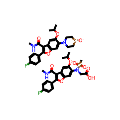 CNC(=O)c1c(-c2ccc(F)cc2)oc2cc(N(CC(=O)O)S(C)(=O)=O)c(OC(C)C)cc12.CNC(=O)c1c(-c2ccc(F)cc2)oc2cc(N3CC[S+]([O-])CC3)c(OC(C)C)cc12